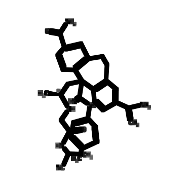 C=C(N)c1ccc2c(c1)CCc1cc(C(N)=O)ccc1C2(C[C@H](C)NCC(=O)NC(C)C#N)C(=N)Nc1ccc(C)cc1